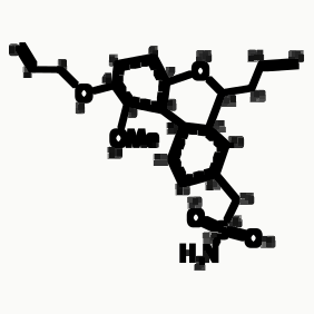 C=CCOc1ccc2c(c1OC)-c1ccc(CS(N)(=O)=O)cc1C(CC=C)O2